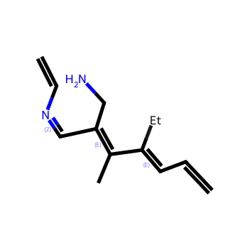 C=C/C=C(CC)/C(C)=C(/C=N\C=C)CN